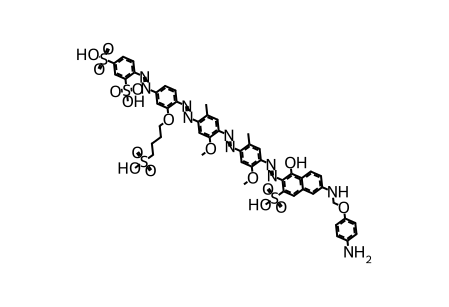 COc1cc(N=Nc2ccc(N=Nc3ccc(S(=O)(=O)O)cc3S(=O)(=O)O)cc2OCCCCS(=O)(=O)O)c(C)cc1N=Nc1cc(OC)c(N=Nc2c(S(=O)(=O)O)cc3cc(NCOc4ccc(N)cc4)ccc3c2O)cc1C